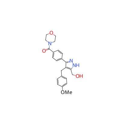 COc1ccc(Cc2c(-c3ccc(C(=O)N4CCOCC4)cc3)n[nH]c2CO)cc1